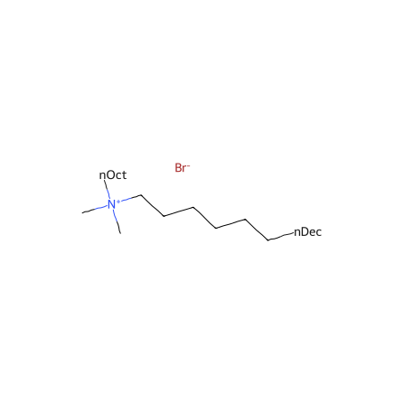 CCCCCCCCCCCCCCCC[N+](C)(C)CCCCCCCC.[Br-]